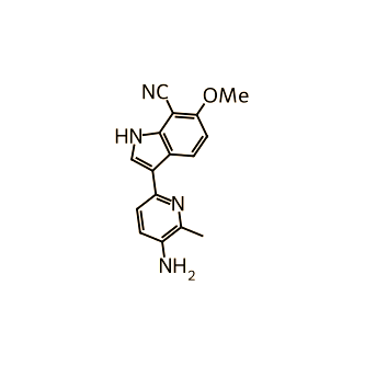 COc1ccc2c(-c3ccc(N)c(C)n3)c[nH]c2c1C#N